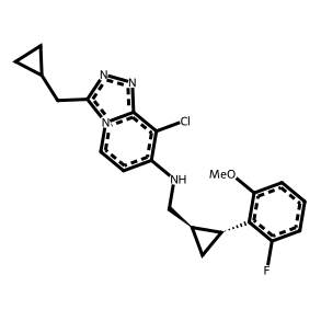 COc1cccc(F)c1[C@@H]1C[C@H]1CNc1ccn2c(CC3CC3)nnc2c1Cl